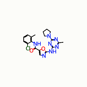 Cc1nc(Nc2ncc(C(=O)Nc3c(C)cccc3Cl)o2)nc(N2CCCC2)n1